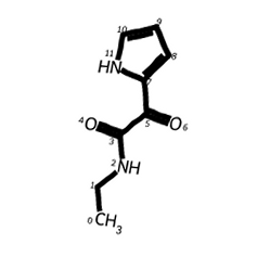 CCNC(=O)C(=O)c1ccc[nH]1